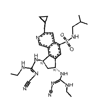 CCNC(=NC#N)N[C@@H]1C[C@@H](NC(=NC#N)NCC)c2c1cc(S(=O)(=O)NCC(C)C)c1cc(C3CC3)ncc21